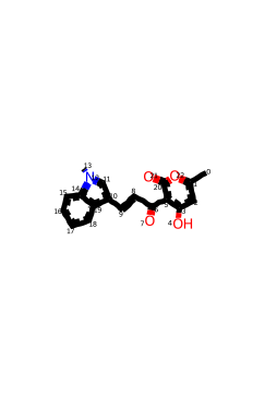 Cc1cc(O)c(C(=O)C=Cc2cn(C)c3ccccc23)c(=O)o1